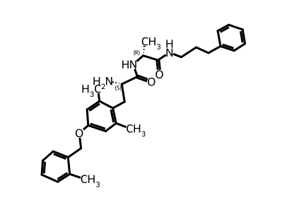 Cc1ccccc1COc1cc(C)c(C[C@H](N)C(=O)N[C@H](C)C(=O)NCCCc2ccccc2)c(C)c1